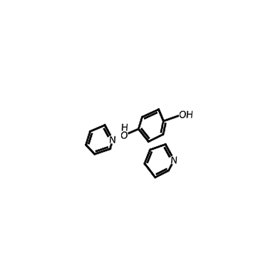 Oc1ccc(O)cc1.c1ccncc1.c1ccncc1